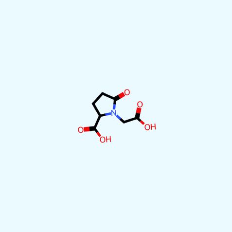 O=C(O)CN1C(=O)CCC1C(=O)O